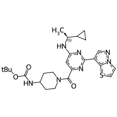 C[C@H](Nc1cc(C(=O)N2CCC(NC(=O)OC(C)(C)C)CC2)nc(-c2cnn3ccsc23)n1)C1CC1